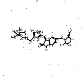 O=C1Nc2ccc(CN3C(=O)CSC3=O)cc2C1=Cc1cc(CN2C[C@H]3C[C@H]3C2)c[nH]1